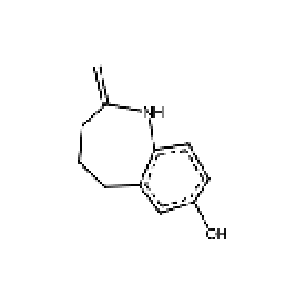 C=C1CCCc2cc(O)ccc2N1